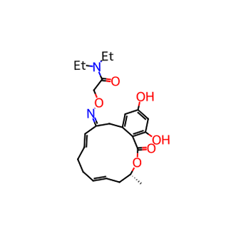 CCN(CC)C(=O)CON=C1/C=C/CC/C=C/C[C@@H](C)OC(=O)c2c(O)cc(O)cc2C1